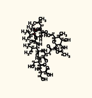 CC(=O)NC1C(NC(=O)CC(NC(=O)C(NC(=O)C(CC(C)C)NC(=O)C(CC(C)C)NC(=O)C(C)N)C(C)C)C(=O)NC(CO)C(=O)NC(CO)C(=O)O)OC(CO)C(C)C1O